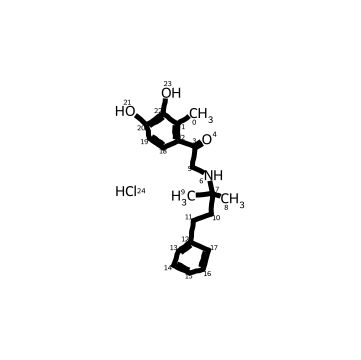 Cc1c(C(=O)CNC(C)(C)CCc2ccccc2)ccc(O)c1O.Cl